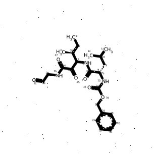 CC[C@H](C)C(NC(=O)[C@H](CC(C)C)NC(=O)OCc1ccccc1)C(=O)C(=O)NCC=O